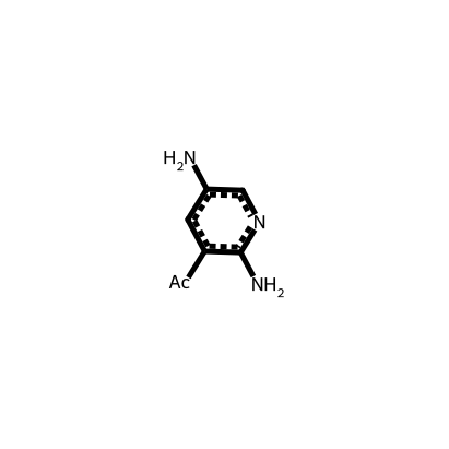 CC(=O)c1cc(N)cnc1N